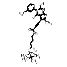 Cc1ccnc(-n2c(S)nc3sc(C)c(C#CC(=O)NCCCCO[Si](C)(C)C(C)(C)C)c3c2=O)c1